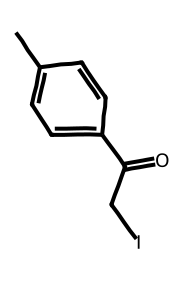 Cc1ccc(C(=O)CI)cc1